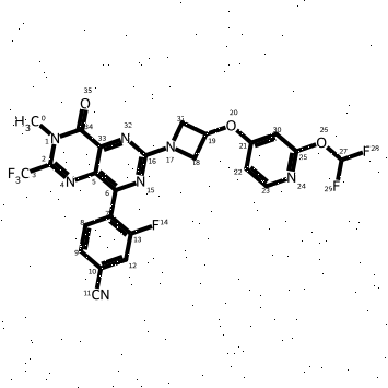 Cn1c(C(F)(F)F)nc2c(-c3ccc(C#N)cc3F)nc(N3CC(Oc4ccnc(OC(F)F)c4)C3)nc2c1=O